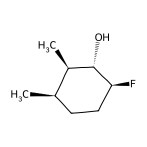 C[C@H]1[C@H](O)[C@@H](F)CC[C@H]1C